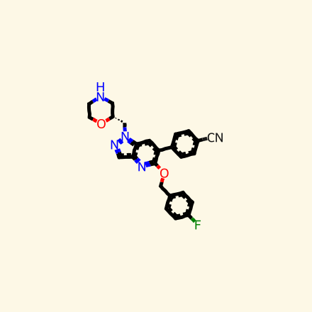 N#Cc1ccc(-c2cc3c(cnn3C[C@H]3CNCCO3)nc2OCc2ccc(F)cc2)cc1